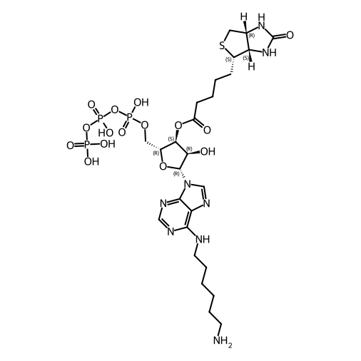 NCCCCCCNc1ncnc2c1ncn2[C@@H]1O[C@H](COP(=O)(O)OP(=O)(O)OP(=O)(O)O)[C@@H](OC(=O)CCCC[C@@H]2SC[C@@H]3NC(=O)N[C@@H]32)[C@H]1O